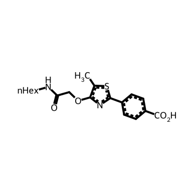 CCCCCCNC(=O)COc1nc(-c2ccc(C(=O)O)cc2)sc1C